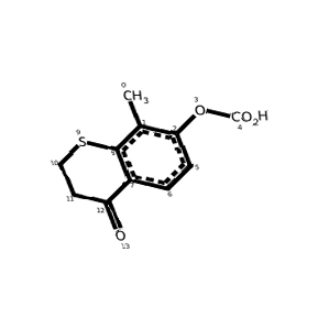 Cc1c(OC(=O)O)ccc2c1SCCC2=O